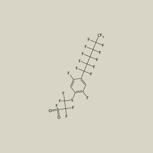 O=S(=O)(F)C(F)(F)C(F)(F)Sc1cc(F)c(C(F)(F)C(F)(F)C(F)(F)C(F)(F)C(F)(F)C(F)(F)F)cc1F